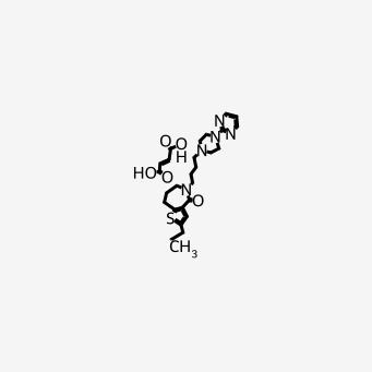 CCCc1cc2c(s1)CCCN(CCCCN1CCN(c3ncccn3)CC1)C2=O.O=C(O)/C=C/C(=O)O